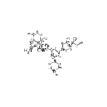 C=CC(=O)N1CCN(c2cc(-c3noc(C4(C)CCC(C)c5sc(N)c(C#N)c54)n3)nc(N3CCN(C)CC3)c2)CC1C